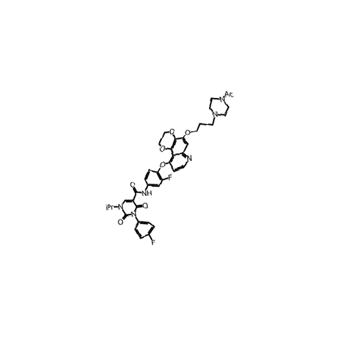 CC(=O)N1CCN(CCCOc2cc3nccc(Oc4ccc(NC(=O)c5cn(C(C)C)c(=O)n(-c6ccc(F)cc6)c5=O)cc4F)c3c3c2OCCO3)CC1